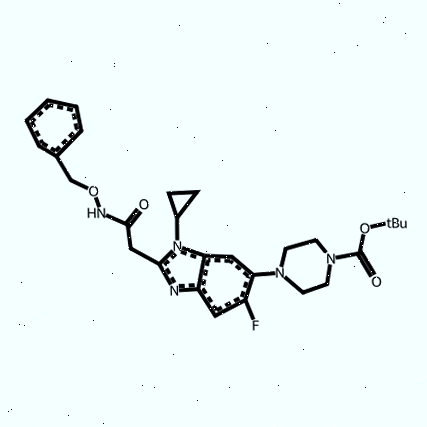 CC(C)(C)OC(=O)N1CCN(c2cc3c(cc2F)nc(CC(=O)NOCc2ccccc2)n3C2CC2)CC1